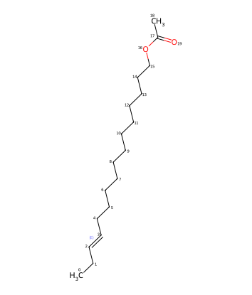 CC/C=C/CCCCCCCCCCCCOC(C)=O